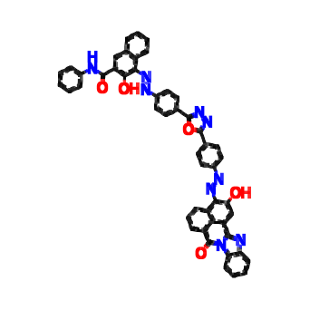 O=C(Nc1ccccc1)c1cc2ccccc2c(N=Nc2ccc(-c3nnc(-c4ccc(N=Nc5c(O)cc6c7c5cccc7c(=O)n5c7ccccc7nc65)cc4)o3)cc2)c1O